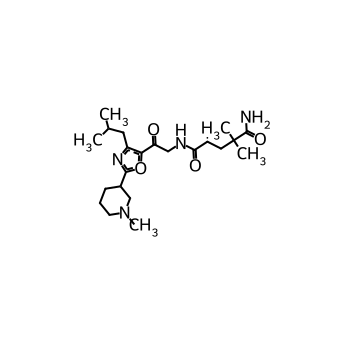 CC(C)Cc1nc(C2CCCN(C)C2)oc1C(=O)CNC(=O)[CH]CC(C)(C)C(N)=O